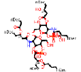 CCCCCCCCCCCCCC(=O)O[C@H](CCCCCCCCCCC)CC(=O)OC1C(NC(=O)C[C@@H](CCCCCCCCCCC)OC(=O)CCCCCCCCCCC)C(OCC2OC(OP(=O)(O)O)C(NC(=O)C[C@H](O)CCCCCCCCCCC)C(OC(=O)C[C@H](O)CCCCCCCCCCC)C2O)OC(CO)C1OP(=O)(O)O